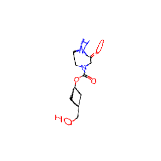 O=C1CN(C(=O)OC2CC(CO)C2)CCN1